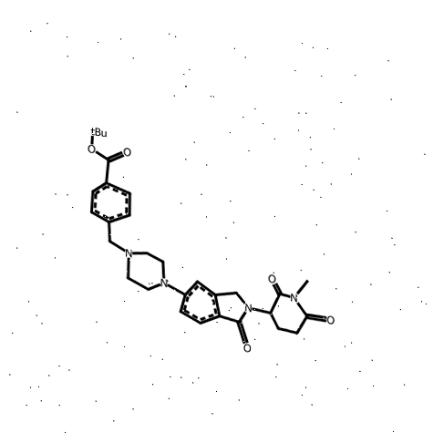 CN1C(=O)CCC(N2Cc3cc(N4CCN(Cc5ccc(C(=O)OC(C)(C)C)cc5)CC4)ccc3C2=O)C1=O